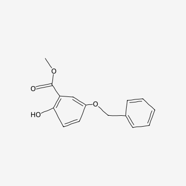 COC(=O)c1cc(OCc2ccccc2)ccc1O